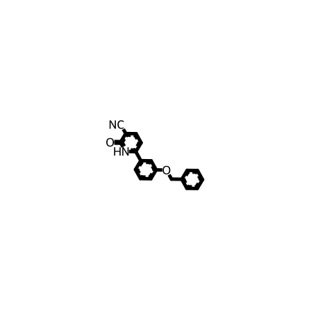 N#Cc1ccc(-c2cccc(OCc3ccccc3)c2)[nH]c1=O